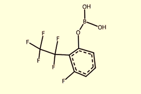 OB(O)Oc1cccc(F)c1C(F)(F)C(F)(F)F